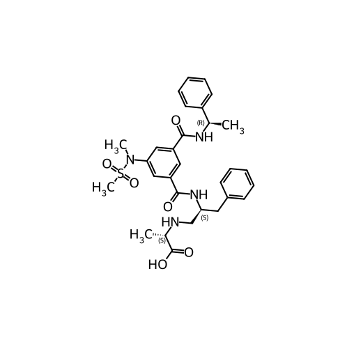 C[C@H](NC[C@H](Cc1ccccc1)NC(=O)c1cc(C(=O)N[C@H](C)c2ccccc2)cc(N(C)S(C)(=O)=O)c1)C(=O)O